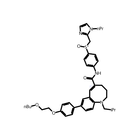 CCCCOCCOc1ccc(-c2ccc3c(c2)/C=C(/C(=O)Nc2ccc([S+]([O-])Cc4nccn4CCC)cc2)CCCN3CC(C)C)cc1